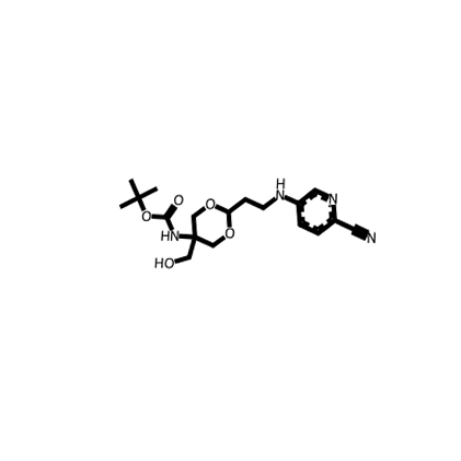 CC(C)(C)OC(=O)NC1(CO)COC(CCNc2ccc(C#N)nc2)OC1